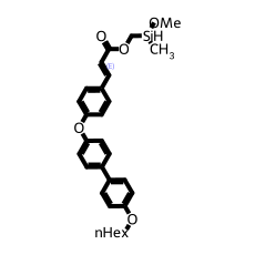 CCCCCCOc1ccc(-c2ccc(Oc3ccc(/C=C/C(=O)OC[SiH](C)OC)cc3)cc2)cc1